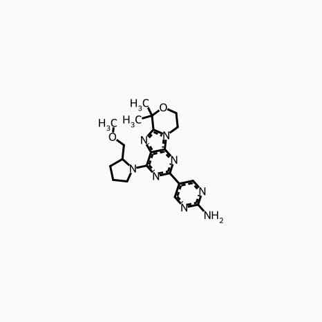 COCC1CCCN1c1nc(-c2cnc(N)nc2)nc2c1nc1n2CCOC1(C)C